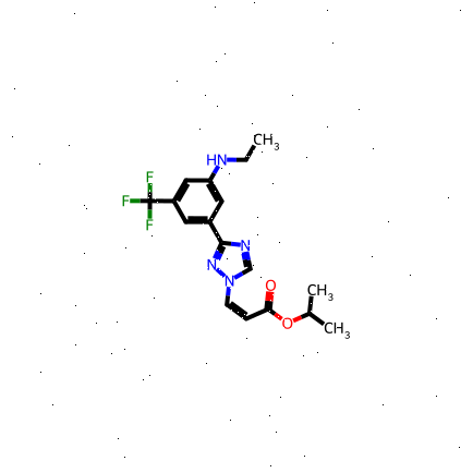 CCNc1cc(-c2ncn(/C=C\C(=O)OC(C)C)n2)cc(C(F)(F)F)c1